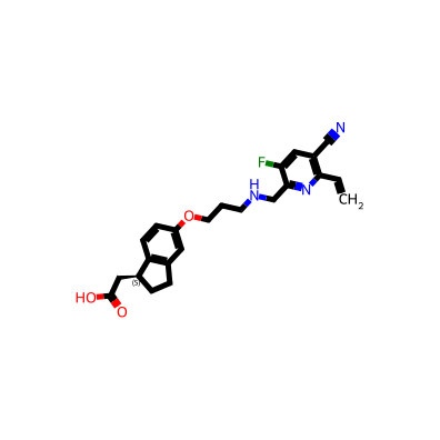 C=Cc1nc(CNCCCOc2ccc3c(c2)CC[C@H]3CC(=O)O)c(F)cc1C#N